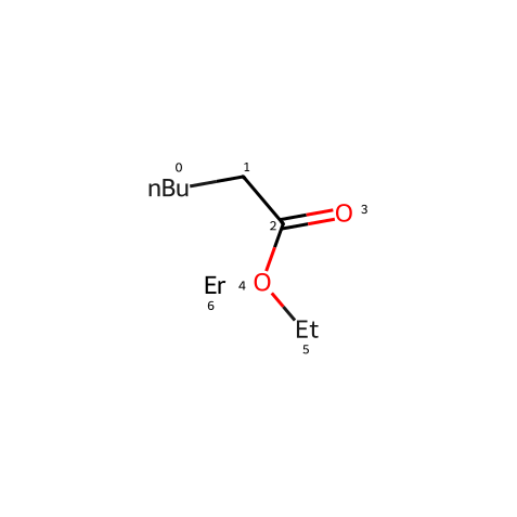 CCCCCC(=O)OCC.[Er]